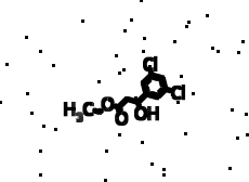 CCOC(=O)CC(O)c1cc(Cl)cc(Cl)c1